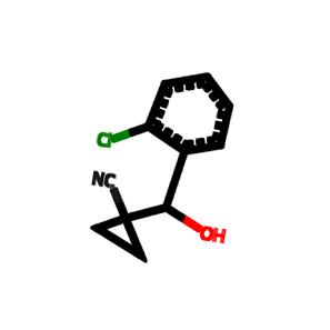 N#CC1(C(O)c2ccccc2Cl)CC1